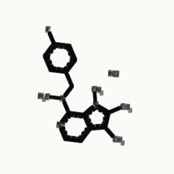 Cc1c(C)n(C)c2c(N(C)Cc3ccc(F)cc3)nccc12.Cl